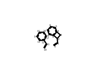 C=CC1Cc2ccccc21.C=Cc1ccccc1